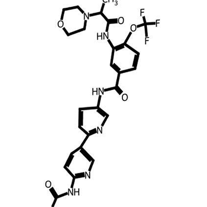 CC(C(=O)Nc1cc(C(=O)Nc2ccc(-c3ccc(NC(=O)O)nc3)nc2)ccc1OC(F)(F)F)N1CCOCC1